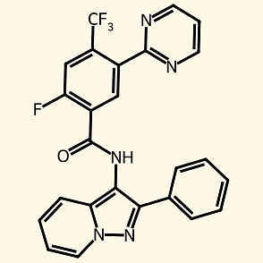 O=C(Nc1c(-c2ccccc2)nn2ccccc12)c1cc(-c2ncccn2)c(C(F)(F)F)cc1F